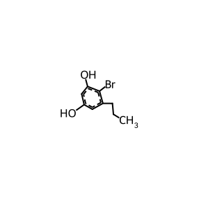 CCCc1cc(O)cc(O)c1Br